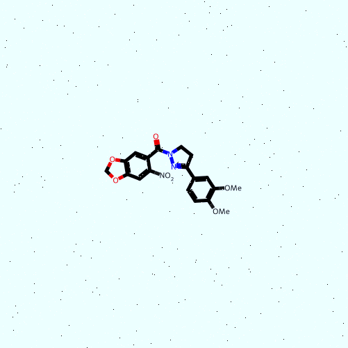 COc1ccc(C2=NN(C(=O)c3cc4c(cc3[N+](=O)[O-])OCO4)CC2)cc1OC